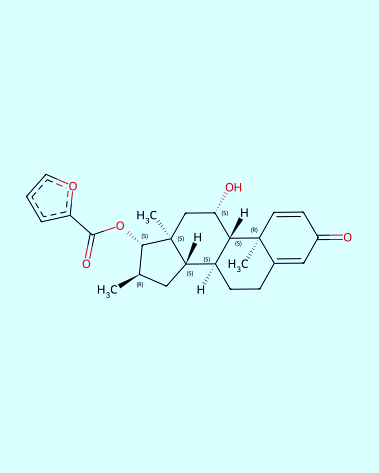 C[C@@H]1C[C@H]2[C@@H]3CCC4=CC(=O)C=C[C@]4(C)[C@H]3[C@@H](O)C[C@]2(C)[C@H]1OC(=O)c1ccco1